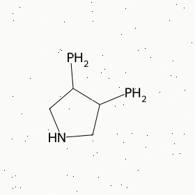 PC1CNCC1P